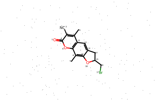 Cc1c(C#N)c(=O)oc2c(C)c3c(cc12)CC(CBr)O3